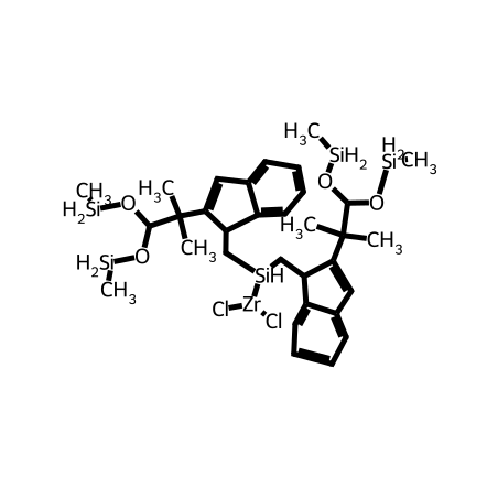 C[SiH2]OC(O[SiH2]C)C(C)(C)C1=Cc2ccccc2C1C[SiH](CC1C(C(C)(C)C(O[SiH2]C)O[SiH2]C)=Cc2ccccc21)[Zr]([Cl])[Cl]